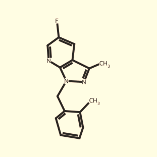 Cc1ccccc1Cn1nc(C)c2cc(F)cnc21